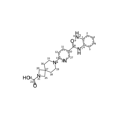 Nc1ccccc1NC(=O)c1ccc(N2CCC3(CC2)CN(C(=O)O)C3)nc1